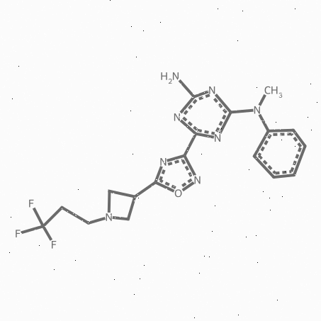 CN(c1ccccc1)c1nc(N)nc(-c2noc(C3CN(CCC(F)(F)F)C3)n2)n1